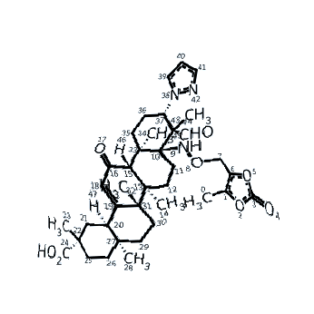 Cc1oc(=O)oc1CON[C@@]12CC[C@]3(C)[C@H](C(=O)C=C4[C@@H]5C[C@@](C)(C(=O)O)CC[C@]5(C)CC[C@]43C)[C@@]1(C)CC[C@H](n1cccn1)[C@@]2(C)C=O